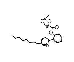 CCCCCCCCc1ccc(-c2ccccc2OC(=O)[C@H]2COC(C)(C)O2)nc1